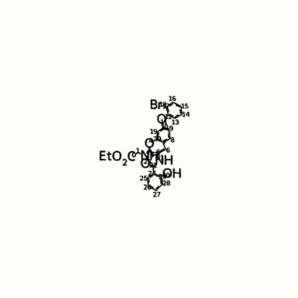 CCOC(=O)CNC(=O)/C(=C\c1ccc(Oc2ccccc2Br)cc1)NC(=O)c1ccccc1O